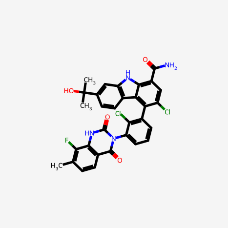 Cc1ccc2c(=O)n(-c3cccc(-c4c(Cl)cc(C(N)=O)c5[nH]c6cc(C(C)(C)O)ccc6c45)c3Cl)c(=O)[nH]c2c1F